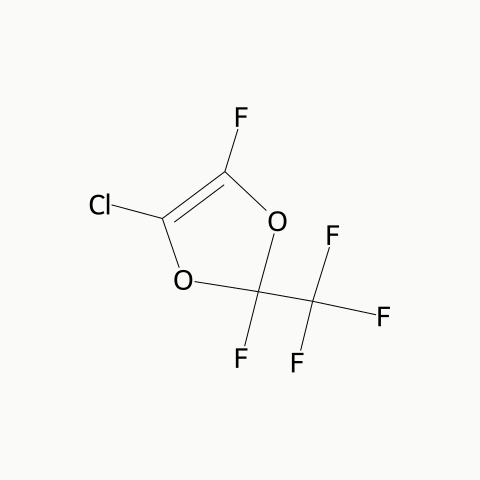 FC1=C(Cl)OC(F)(C(F)(F)F)O1